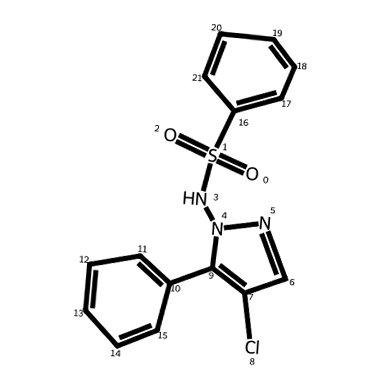 O=S(=O)(Nn1ncc(Cl)c1-c1ccccc1)c1ccccc1